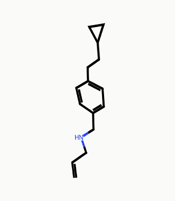 C=CCNCc1ccc(CCC2CC2)cc1